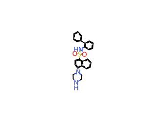 O=S(=O)(Nc1ccccc1-c1ccccc1)c1ccc(N2CCNCC2)c2ccccc12